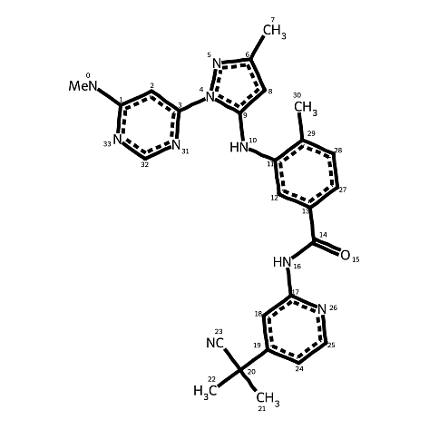 CNc1cc(-n2nc(C)cc2Nc2cc(C(=O)Nc3cc(C(C)(C)C#N)ccn3)ccc2C)ncn1